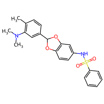 Cc1ccc(C2Oc3ccc(NS(=O)(=O)c4ccccc4)cc3O2)cc1N(C)C